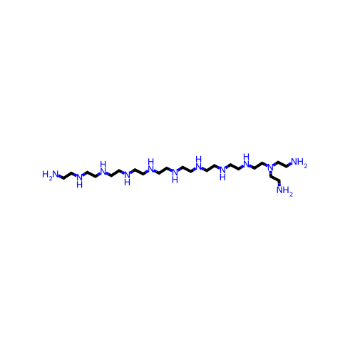 NCCNCCNCCNCCNCCNCCNCCNCCNCCN(CCN)CCN